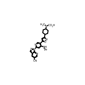 CC(C)Nc1cc(-n2ncc3cc(C#N)cnc32)ncc1-c1cc(C2CCC(N(C)C(=O)O)CC2)no1